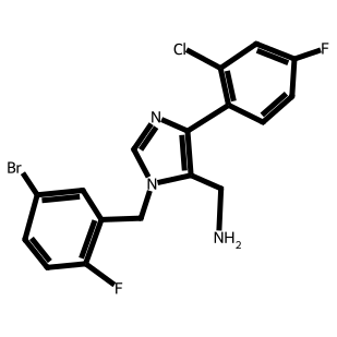 NCc1c(-c2ccc(F)cc2Cl)ncn1Cc1cc(Br)ccc1F